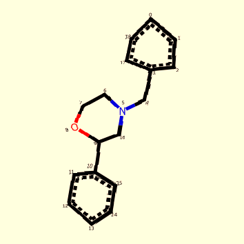 c1ccc(CN2CCOC(c3ccccc3)C2)cc1